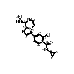 CCNc1nccn2c(-c3ccc(C(=O)NC4CC4)c(Cl)c3)cnc12